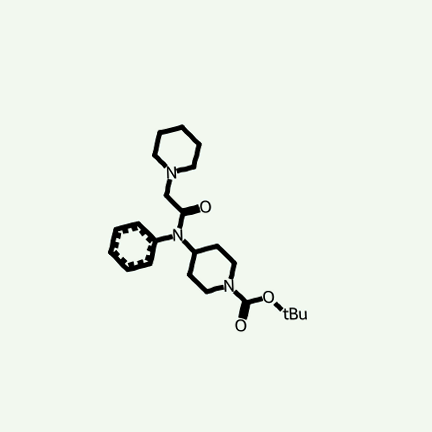 CC(C)(C)OC(=O)N1CCC(N(C(=O)CN2CCCCC2)c2ccccc2)CC1